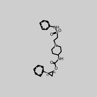 O=C(NC1CCN(CCS(=O)(=O)Nc2ccccc2)CC1)O[C@@H]1C[C@H]1c1ccccc1